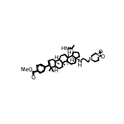 COC(=O)c1ccc(C2=CC[C@]3(C)[C@H]4CC[C@@H]5[C@H]6[C@H](C(C)=N)CC[C@]6(NCCN6CCS(=O)(=O)CC6)CC[C@@]5(C)[C@]4(C)CC[C@H]3C2(C)C)cc1